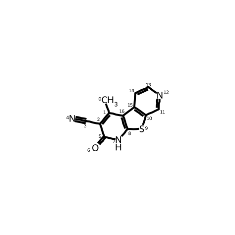 Cc1c(C#N)c(=O)[nH]c2sc3cnccc3c12